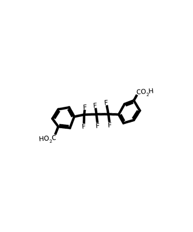 O=C(O)c1cccc(C(F)(F)C(F)(F)C(F)(F)c2cccc(C(=O)O)c2)c1